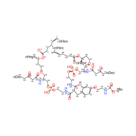 CCCCCC/C=C\CCCC(=O)O[C@H](CCCCCCC)CCOCC(COP(=O)(O)OCCNC(=O)C(Cc1ccc(OCCNC(=O)OC(C)(C)C)cc1)C(=O)NCCOP(=O)(O)OCC(COCC[C@@H](CCCCCCC)OC(=O)CCC/C=C\CCCCCC)NC(=O)CC(=O)CCCCCCCCCCC)NC(=O)CC(=O)CCCCCCCCCCC